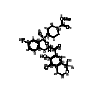 COC(=O)N1CCN(S(=O)(=O)c2cc(F)ccc2CNC(=O)c2nc3n(c(=O)c2O)CCOC3(C)C)CC1